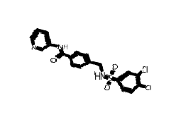 O=C(Nc1cccnc1)c1ccc(CNS(=O)(=O)c2ccc(Cl)c(Cl)c2)cc1